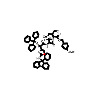 COc1ccc(COC(=O)C2=C(CCl)C[S+]([O-])[C@H]3C(NC(=O)/C(=N\OC(c4ccccc4)(c4ccccc4)c4ccccc4)c4csc(NC(c5ccccc5)(c5ccccc5)c5ccccc5)n4)C(=O)N23)cc1